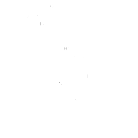 O=C1COc2ccc(CNC(=O)c3ncnc4c(N(CC5CCCCC5)CC5CCCCC5)c[nH]c34)cc2N1